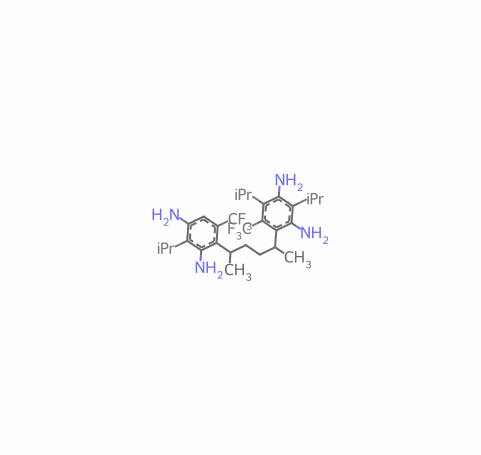 CC(C)c1c(N)cc(C(F)(F)F)c(C(C)CCC(C)c2c(N)c(C(C)C)c(N)c(C(C)C)c2C(F)(F)F)c1N